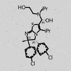 CC(C)C1=C([C@@H](O)N(CCO)C(C)C)SC2=N[C@@](C)(c3ccc(Cl)cc3)[C@@H](c3ccc(Cl)cc3)N21